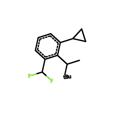 CC(c1c(C(F)F)cccc1C1CC1)C(C)(C)C